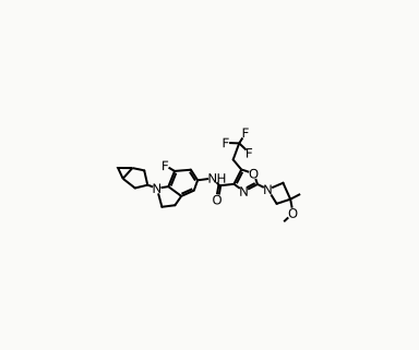 COC1(C)CN(c2nc(C(=O)Nc3cc(F)c4c(c3)CCN4C3CC4CC4C3)c(CC(F)(F)F)o2)C1